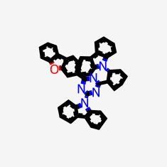 c1ccc(-n2c3ccccc3c3ccccc32)c(-c2nc(-c3ccc4c(c3)oc3ccccc34)nc(-n3c4ccccc4c4ccccc43)n2)c1